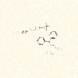 CC(C)CCN.CC1CC1(C)C.CCCN.N.NCCC(c1ccccc1)c1ccccc1